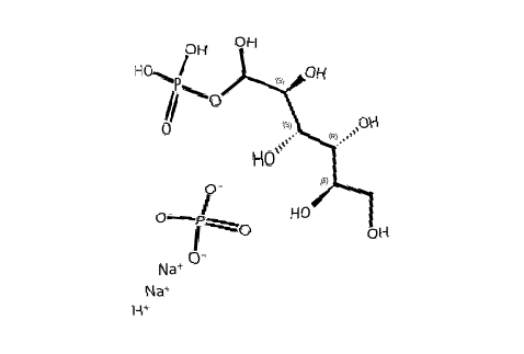 O=P(O)(O)OC(O)[C@@H](O)[C@@H](O)[C@H](O)[C@H](O)CO.O=P([O-])([O-])[O-].[H+].[Na+].[Na+]